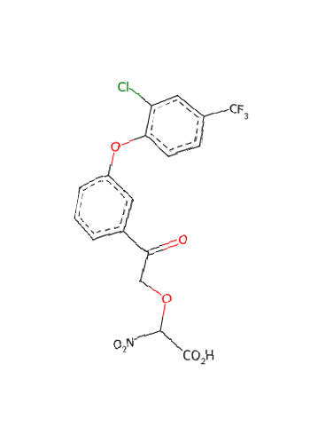 O=C(COC(C(=O)O)[N+](=O)[O-])c1cccc(Oc2ccc(C(F)(F)F)cc2Cl)c1